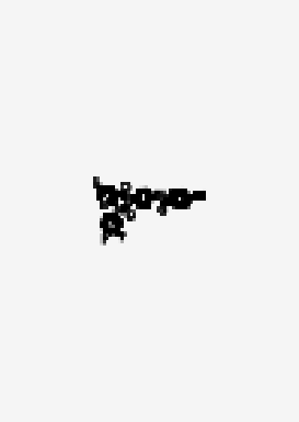 C#Cc1ccc(C(=O)NC2CCC(n3c(=O)c4cc(F)cnc4n(-c4ccc(F)c(F)c4)c3=O)CC2)cc1